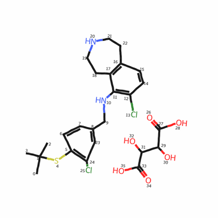 CC(C)(C)Sc1ccc(CNc2c(Cl)ccc3c2CCNCC3)cc1Cl.O=C(O)C(O)C(O)C(=O)O